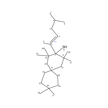 C/C(=C\CC(C)C)C1(S)C(C)(C)CC2(CCC(C)(C)CC2)CC1(C)C